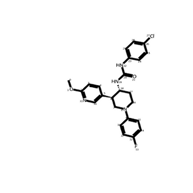 COc1ccc([C@@H]2CN(c3ccc(F)cc3)CC[C@H]2NC(=O)Nc2ccc(Cl)cc2)cn1